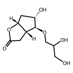 O=C1C[C@H]2[C@H](OCC(O)CO)[C@@H](O)C[C@H]2O1